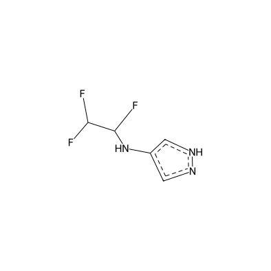 FC(F)C(F)Nc1cn[nH]c1